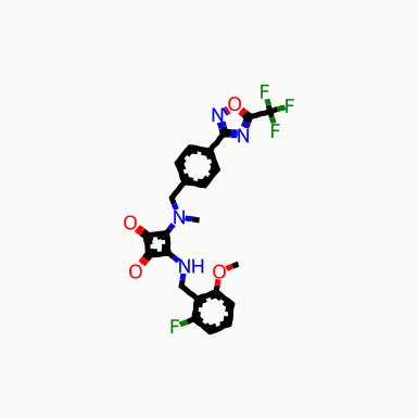 COc1cccc(F)c1CNc1c(N(C)Cc2ccc(-c3noc(C(F)(F)F)n3)cc2)c(=O)c1=O